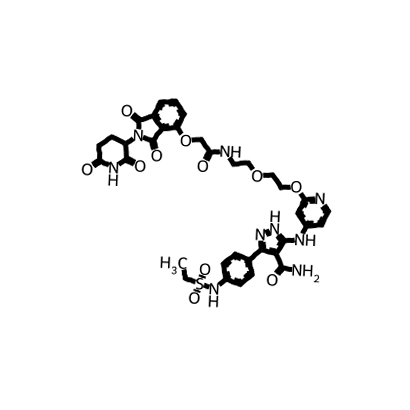 CCS(=O)(=O)Nc1ccc(-c2n[nH]c(Nc3ccnc(OCCOCCNC(=O)COc4cccc5c4C(=O)N(C4CCC(=O)NC4=O)C5=O)c3)c2C(N)=O)cc1